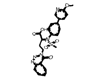 COc1ccc(-c2ccc(N(C(CCn3nnc4ccccc4c3=O)C(=O)O)S(C)(=O)=O)cc2)cn1